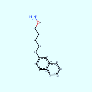 NOCCCCCc1ccc2ccccc2c1